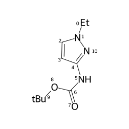 CCn1ccc(NC(=O)OC(C)(C)C)n1